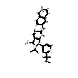 CNC(C)(C)c1cc(N2c3nc(Nc4ccc5c(c4)CCNC5)ncc3C(O)N2C(C)C)ccn1